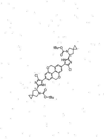 CC(C)(C)OC(=O)N1CC2(CC2)C[C@H]1c1nc(Cl)c(-c2cc3c4c(c2)OCc2cc(-c5[nH]c([C@@H]6CC7(CC7)CN6C(=O)OC(C)(C)C)nc5Cl)cc(c2-4)OC3)[nH]1